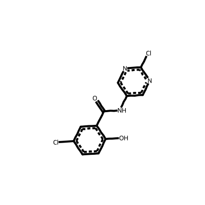 O=C(Nc1cnc(Cl)nc1)c1cc(Cl)ccc1O